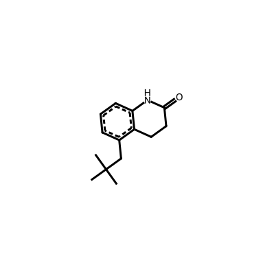 CC(C)(C)Cc1cccc2c1CCC(=O)N2